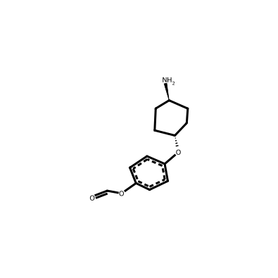 N[C@H]1CC[C@H](Oc2ccc(OC=O)cc2)CC1